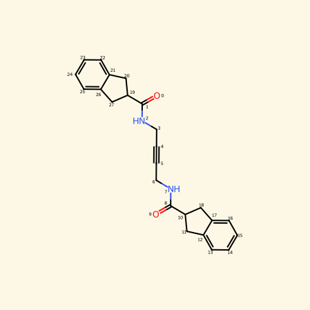 O=C(NCC#CCNC(=O)C1Cc2ccccc2C1)C1Cc2ccccc2C1